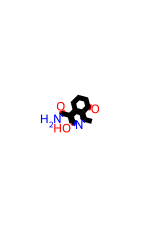 Cc1nc(O)c(C(N)=O)c2c1C(=O)CCC2